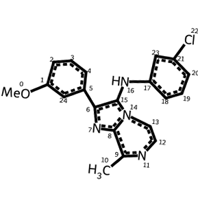 COc1cccc(-c2nc3c(C)nccn3c2Nc2cccc(Cl)c2)c1